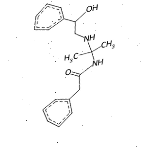 CC(C)(NCC(O)c1ccccc1)NC(=O)Cc1ccccc1